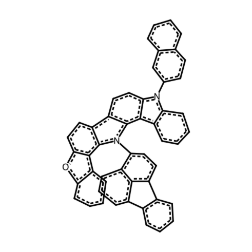 c1ccc2c(c1)-c1cccc3c(-n4c5c(ccc6oc7ccccc7c65)c5ccc6c(c7ccccc7n6-c6ccc7ccccc7c6)c54)ccc-2c13